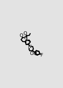 CCC(=O)N1C(=O)CCc2cc(N3CCC(O)(c4ccc(F)cc4)CC3)ccc21